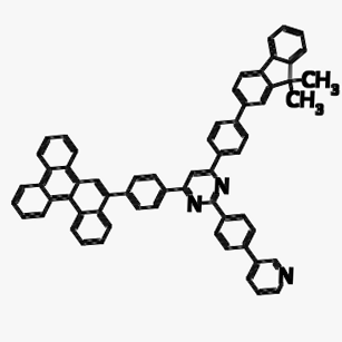 CC1(C)c2ccccc2-c2ccc(-c3ccc(-c4cc(-c5ccc(-c6cc7c8ccccc8c8ccccc8c7c7ccccc67)cc5)nc(-c5ccc(-c6cccnc6)cc5)n4)cc3)cc21